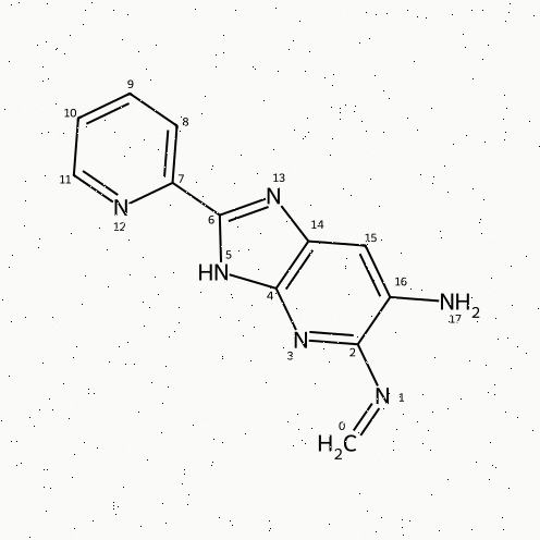 C=Nc1nc2[nH]c(-c3ccccn3)nc2cc1N